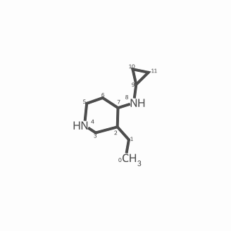 CCC1CNCCC1NC1CC1